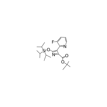 CC(C)[Si](OC1=C(c2ncccc2F)C(C(=O)OC(C)(C)C)=N1)(C(C)C)C(C)C